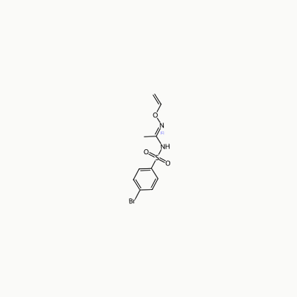 C=CO/N=C(\C)NS(=O)(=O)c1ccc(Br)cc1